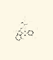 Cc1cc(C)cc(S(=O)(=O)c2c(C(=O)NC(CO)C(N)=O)[nH]c3ccc(F)c(F)c23)c1